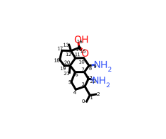 CC(C)C1CCC2C(C(N)CC3C(C)(C(=O)O)CCCC23C)C1N